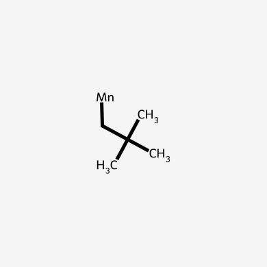 CC(C)(C)[CH2][Mn]